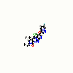 Cn1cc(C(F)(F)F)cc(Nc2nc3ncc(Oc4cnn5cc(F)ccc45)c(Cl)c3n2C)c1=O